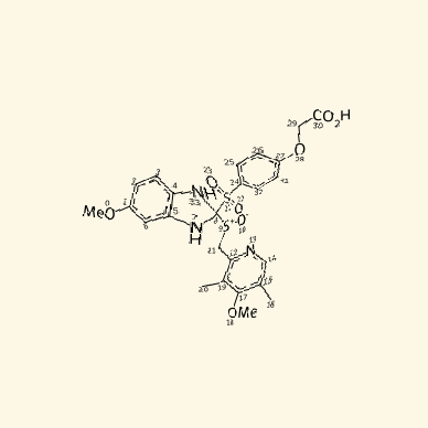 COc1ccc2c(c1)NC([S+]([O-])Cc1ncc(C)c(OC)c1C)(S(=O)(=O)c1ccc(OCC(=O)O)cc1)N2